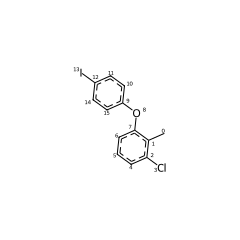 Cc1c(Cl)cccc1Oc1ccc(I)cc1